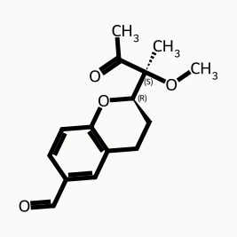 CO[C@](C)(C(C)=O)[C@H]1CCc2cc(C=O)ccc2O1